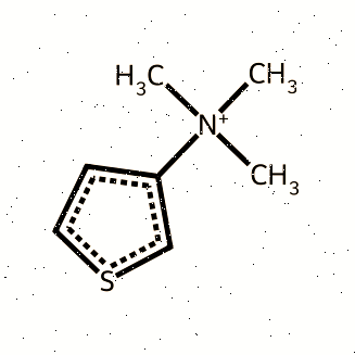 C[N+](C)(C)c1ccsc1